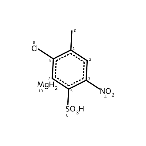 Cc1cc([N+](=O)[O-])c(S(=O)(=O)O)cc1Cl.[MgH2]